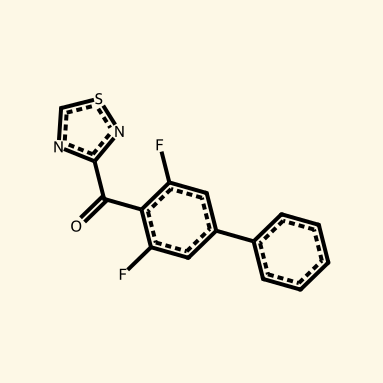 O=C(c1ncsn1)c1c(F)cc(-c2ccccc2)cc1F